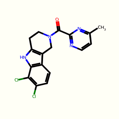 Cc1ccnc(C(=O)N2CCc3[nH]c4c(Cl)c(Cl)ccc4c3C2)n1